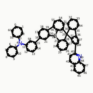 c1ccc(N(c2ccccc2)c2cccc(-c3ccc4c(c3)B3c5ccccc5C5(c6ccccc6-c6ccc(-c7ccc8ccccc8n7)cc65)c5cccc-4c53)c2)cc1